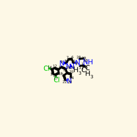 CC1(C)CN(c2ccc3nc(-c4cc(Cl)cc(Cl)c4)c(-c4ccncc4)n3n2)CCN1